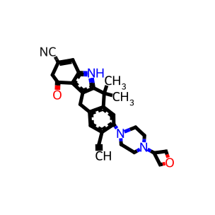 C#Cc1cc2c(cc1N1CCN(C3COC3)CC1)C(C)(C)c1[nH]c3c(c1C2)C(=O)CC(C#N)=C3